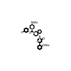 CN[C@@H]1CCN(C(=O)N2CC[C@@H](Cn3cnc(-c4ccccc4OC)cc3=O)C3(CCCC3)C2)[C@H](c2ccc(F)cc2)C1